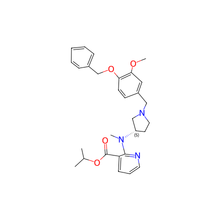 COc1cc(CN2CC[C@H](N(C)c3ncccc3C(=O)OC(C)C)C2)ccc1OCc1ccccc1